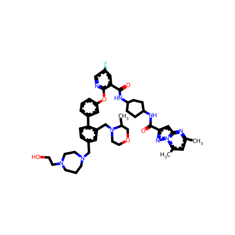 Cc1cc(C)n2nc(C(=O)NC3CCC(NC(=O)c4cc(F)cnc4Oc4cccc(-c5ccc(CN6CCCN(CCO)CC6)cc5CN5CCOCC5C)c4)CC3)cc2n1